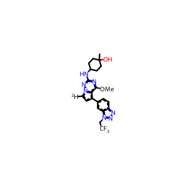 [2H]c1cc(-c2ccc3nnn(CC(F)(F)F)c3c2)c2c(OC)nc(NC3CCC(C)(O)CC3)nn12